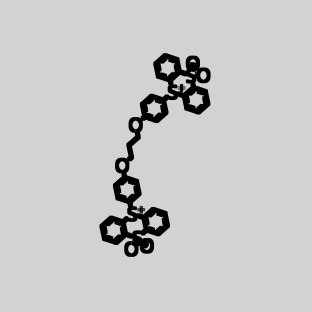 O=S1(=O)c2ccccc2[S+](c2ccc(OCCCOc3ccc([S+]4c5ccccc5S(=O)(=O)c5ccccc54)cc3)cc2)c2ccccc21